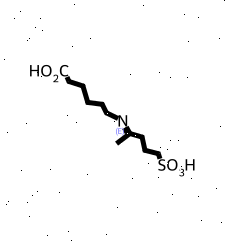 C/C(CCCS(=O)(=O)O)=N\CCCCCC(=O)O